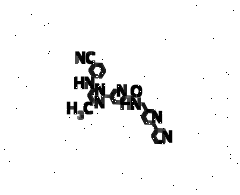 Cc1cc(Nc2cccc(C#N)c2)nc(-c2ccc(C(=O)NCc3ccc(-c4cccnc4)nc3)nc2)n1